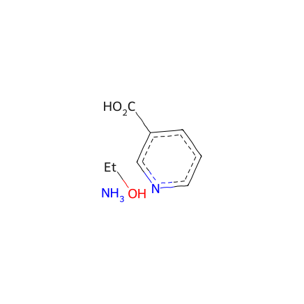 CCO.N.O=C(O)c1cccnc1